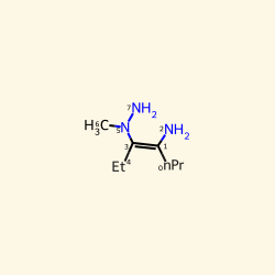 CCC/C(N)=C(\CC)N(C)N